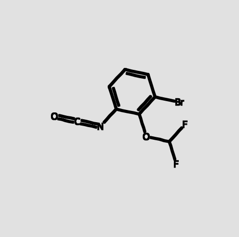 O=C=Nc1cccc(Br)c1OC(F)F